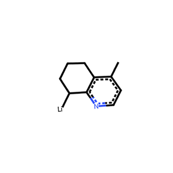 [Li][CH]1CCCc2c(C)ccnc21